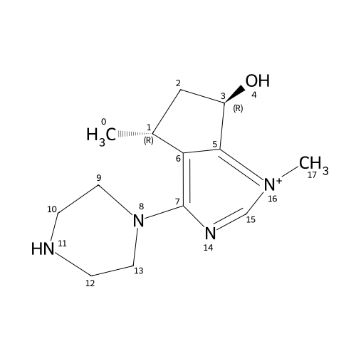 C[C@@H]1C[C@@H](O)c2c1c(N1CCNCC1)nc[n+]2C